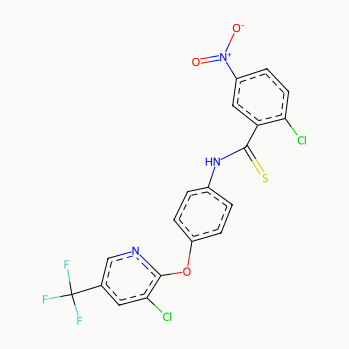 O=[N+]([O-])c1ccc(Cl)c(C(=S)Nc2ccc(Oc3ncc(C(F)(F)F)cc3Cl)cc2)c1